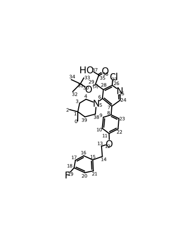 CC1(C)CCN(c2c(-c3ccc(OCCc4ccc(F)cc4)cc3)cnc(Cl)c2[C@H](OC(C)(C)C)C(=O)O)CC1